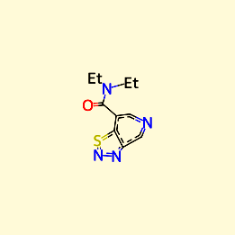 CCN(CC)C(=O)c1cncc2nnsc12